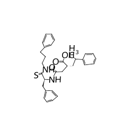 CC(C[C@H](CC(=O)N[C@@H](Cc1ccccc1)C(=S)NCCCc1ccccc1)C(=O)O)c1ccccc1